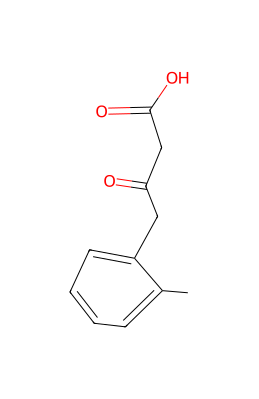 Cc1ccccc1CC(=O)CC(=O)O